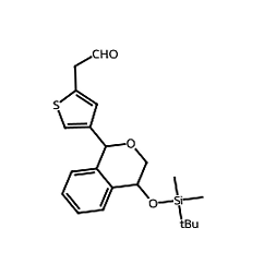 CC(C)(C)[Si](C)(C)OC1COC(c2csc(CC=O)c2)c2ccccc21